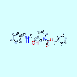 O=C(OCc1ccccc1)N1CCCC([C@H](O)CNCc2ccccc2)C1